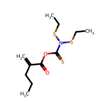 C=C(CCC)C(=O)OC(=S)N(SCC)SCC